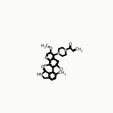 C=CC(=O)N1CCN(c2c(OC)cnc3c(F)c(-c4c(C)ccc5c4C(=O)NC5)c(Cl)cc23)CC1